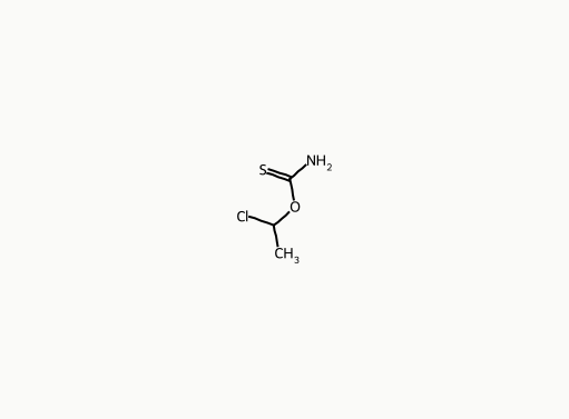 CC(Cl)OC(N)=S